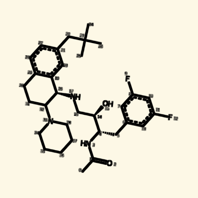 CC(=O)N[C@@H](Cc1cc(F)cc(F)c1)[C@H](O)CN[C@@H]1c2cc(CC(C)(C)C)ccc2CCC1N1CCCCC1